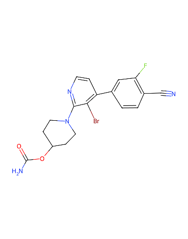 N#Cc1ccc(-c2ccnc(N3CCC(OC(N)=O)CC3)c2Br)cc1F